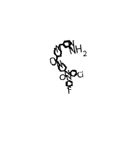 Nc1cc(CN2CCC(C(=O)N3CCC(n4c(=O)n(-c5ccc(F)cc5)c5cc(Cl)ccc54)CC3)CC2)ccn1